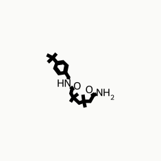 CC(C)(CC(N)=O)CC(C)(C)CC(=O)NCc1ccc(C(C)(C)C)cc1